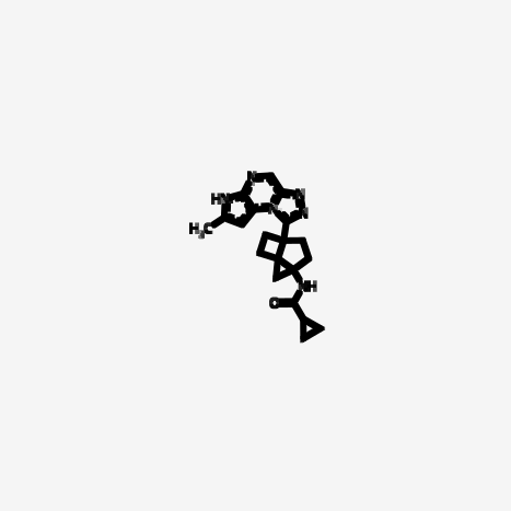 Cc1cc2c(ncc3nnc(C45CCC6(NC(=O)C7CC7)CC64CC5)n32)[nH]1